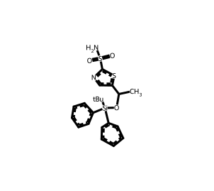 CC(O[Si](c1ccccc1)(c1ccccc1)C(C)(C)C)c1cnc(S(N)(=O)=O)s1